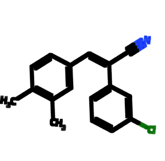 Cc1ccc(/C=C(/C#N)c2cccc(Cl)c2)cc1C